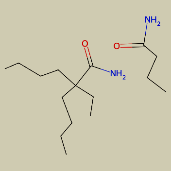 CCCC(N)=O.CCCCC(CC)(CCCC)C(N)=O